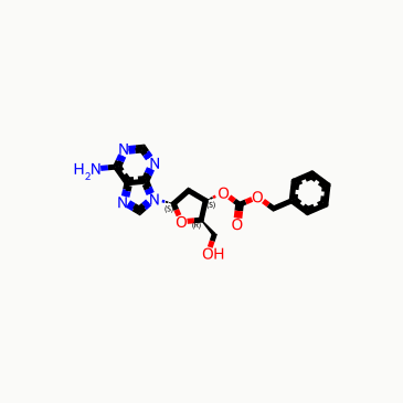 Nc1ncnc2c1ncn2[C@@H]1C[C@H](OC(=O)OCc2ccccc2)[C@@H](CO)O1